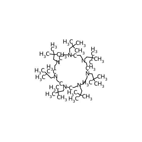 CC(C)(C)CN1CCN(CC(C)(C)C)CCN(CC(C)(C)C)CCN(CC(C)(C)C)CCN(CC(C)(C)C)CCN(CC(C)(C)C)CCN(CC(C)(C)C)CC1